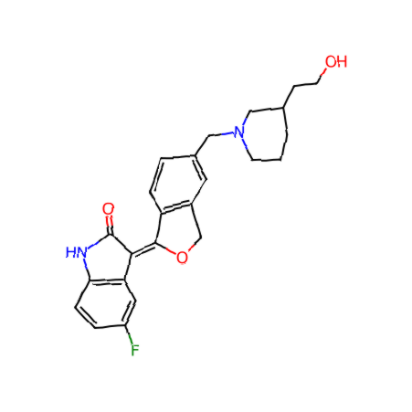 O=C1Nc2ccc(F)cc2/C1=C1\OCc2cc(CN3CCCC(CCO)C3)ccc21